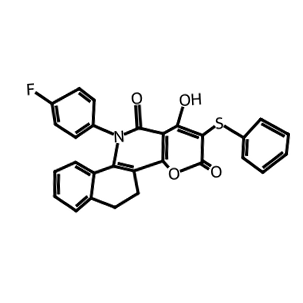 O=c1oc2c3c(n(-c4ccc(F)cc4)c(=O)c2c(O)c1Sc1ccccc1)-c1ccccc1CC3